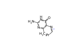 Cc1nc(N)[nH]c(=O)c1/N=C\C(C)C